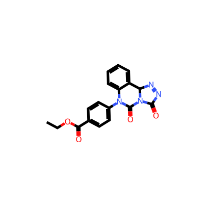 CCOC(=O)c1ccc(N2C(=O)N3C(=O)N=NC3c3ccccc32)cc1